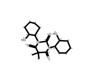 CC1(C)C(=O)N(C2CCCCC2O)C(=O)N(C2CCCCC2O)C1=O